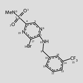 CNS(=O)(=O)c1cnc(NCc2cccc(C(F)(F)F)c2)c(Br)n1